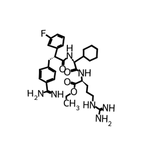 CCOC(=O)[C@H](CCCNC(=N)N)NC(=O)[C@@H](NC(=O)[C@H](Cc1ccc(C(=N)N)cc1)c1cccc(F)c1)C1CCCCC1